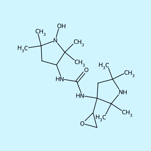 CC1(C)CC(NC(=O)NC2CC(C)(C)N(O)C2(C)C)(C2CO2)C(C)(C)N1